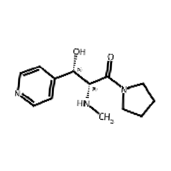 CN[C@@H](C(=O)N1CCCC1)[C@@H](O)c1ccncc1